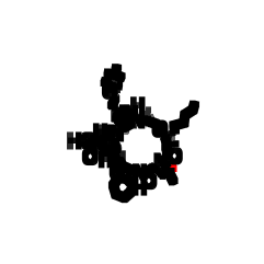 CCCCCC[C@H]1OC[C@@H](C)NC(=O)[C@H](CNCCO[Si](C)(C)C(C)(C)C)NC(=O)[C@H](CNC(=O)O)NC(=O)[C@H](C2CCCCCC2)NC(=O)[C@H](CC(C)C)N(C)C(=O)[C@@H]1C